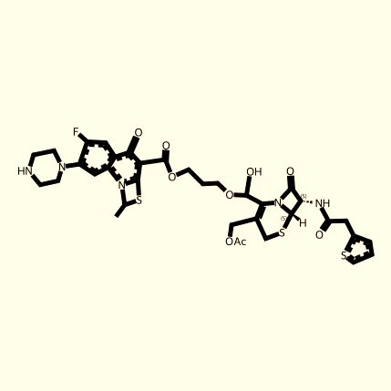 CC(=O)OCC1=C(C(O)OCCCOC(=O)c2c3n(c4cc(N5CCNCC5)c(F)cc4c2=O)C(C)S3)N2C(=O)[C@H](NC(=O)Cc3cccs3)[C@@H]2SC1